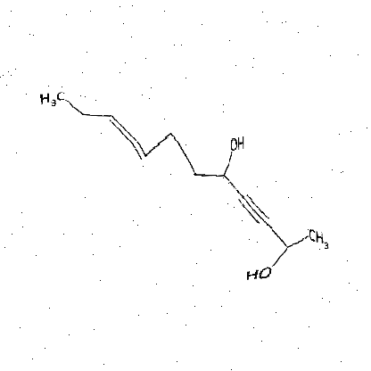 CC/C=C/CCC(O)C#CC(C)O